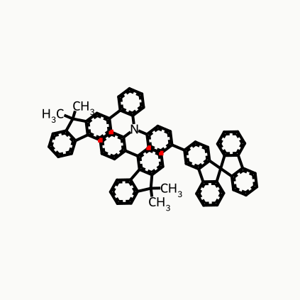 CC1(C)c2ccccc2-c2ccc(-c3ccccc3N(c3ccc(-c4ccc5c(c4)-c4ccccc4C54c5ccccc5-c5ccccc54)cc3)c3ccccc3-c3cccc4c3-c3ccccc3C4(C)C)cc21